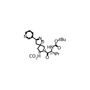 CC(C)[C@H](NC(=O)OC(C)(C)C)C(=O)N1CC2(CC(c3cccnc3)=NO2)C[C@H]1C(=O)O